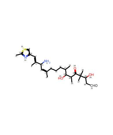 C/C(=C/C(N)/C(C)=C/c1csc(C)n1)CCCC(C)C(O)C(C)C(=O)C(C)(C)C(O)CC=O